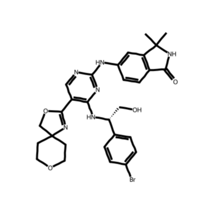 CC1(C)NC(=O)c2ccc(Nc3ncc(C4=NC5(CCOCC5)CO4)c(N[C@H](CO)c4ccc(Br)cc4)n3)cc21